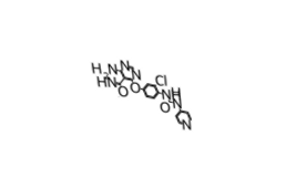 COC(=N)c1c(N)ncnc1Oc1ccc(NC(=O)Nc2ccncc2)c(Cl)c1